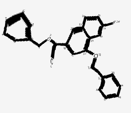 O=C(OCc1ccccc1)c1cc(OCc2ccccc2)c2cc(F)ccc2c1